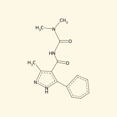 Cc1n[nH]c(-c2ccccc2)c1C(=O)NC(=O)N(C)C